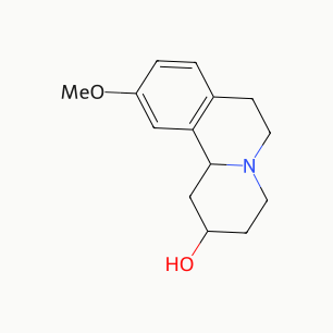 COc1ccc2c(c1)C1CC(O)CCN1CC2